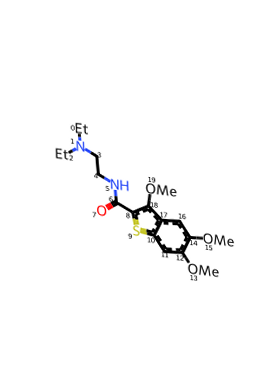 CCN(CC)CCNC(=O)c1sc2cc(OC)c(OC)cc2c1OC